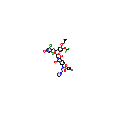 CS(=O)(=O)N(CCN1CCCC1)c1ccc2c(c1)C(=O)N(CC(=O)O[C@@H](Cc1c(Cl)c[n+]([O-])cc1Cl)c1ccc(OC(F)F)c(OCC3CC3)c1)C2=O